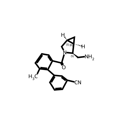 Cc1cccc(C(=O)N2C[C@H]3C[C@H]3[C@H]2CN)c1-c1cccc(C#N)c1